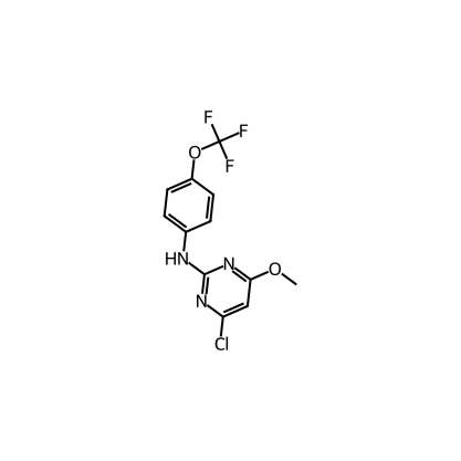 COc1cc(Cl)nc(Nc2ccc(OC(F)(F)F)cc2)n1